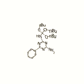 CCCCOC(Nc1nc(N)nc(-c2ccccc2)n1)(OCCCC)OCCCC